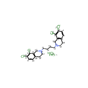 Cl.Cl.Clc1ccc2c(c1Cl)CN(CCCCN1CCc3ccc(Cl)c(Cl)c3C1)CC2